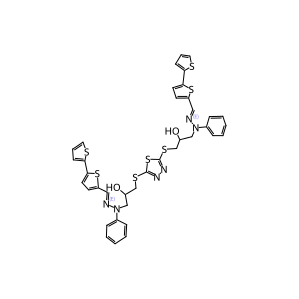 OC(CSc1nnc(SCC(O)CN(/N=C/c2ccc(-c3cccs3)s2)c2ccccc2)s1)CN(/N=C/c1ccc(-c2cccs2)s1)c1ccccc1